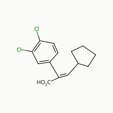 O=C(O)/C(=C/C1CCCC1)c1ccc(Cl)c(Cl)c1